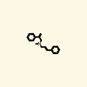 C=C(CN(C)CC=Cc1ccccc1)c1ccccc1